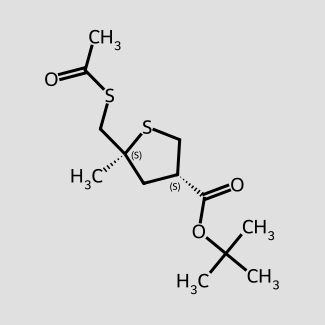 CC(=O)SC[C@]1(C)C[C@@H](C(=O)OC(C)(C)C)CS1